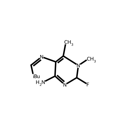 CCC(C)/C=N\C1=C(C)N(C)C(F)N=C1N